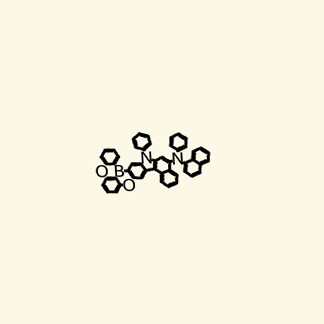 c1ccc(N(c2cccc3ccccc23)c2cc3c(c4ccccc24)c2cc4c(cc2n3-c2ccccc2)B2c3ccccc3Oc3cccc(c32)O4)cc1